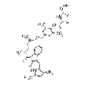 CCCOC(=O)NC(C)C(=O)Oc1c(C)cc(COCN(C)CCN(C)C(=O)N2C(=O)/C(=C\c3[nH]c(C)cc3C)c3ccccc32)cc1C